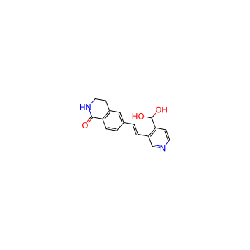 O=C1NCCc2cc(/C=C/c3cnccc3C(O)O)ccc21